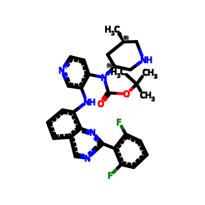 C[C@H]1CNC[C@@H](N(C(=O)OC(C)(C)C)c2ccncc2Nc2cccc3cnc(-c4c(F)cccc4F)nc23)C1